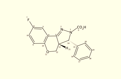 O=C(O)N1N=C2c3cc(F)ccc3OC[C@H]2[C@H]1c1ccccc1